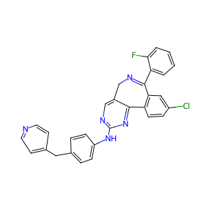 Fc1ccccc1C1=NCc2cnc(Nc3ccc(Cc4ccncc4)cc3)nc2-c2ccc(Cl)cc21